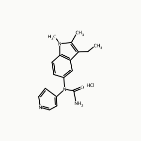 CCc1c(C)n(C)c2ccc(N(C(N)=O)c3ccncc3)cc12.Cl